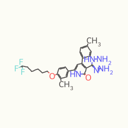 Cc1ccc(-c2cc(-c3ccc(OCCCCCC(F)(F)F)c(C)c3)[nH]c(=O)c2/C(=N/N)NN)cc1